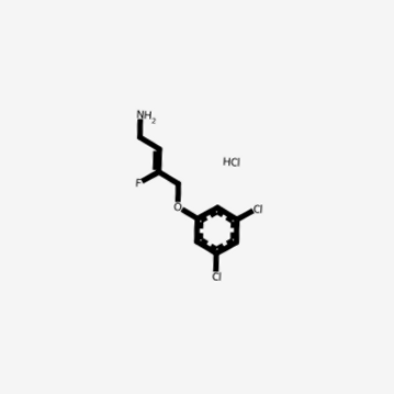 Cl.NCC=C(F)COc1cc(Cl)cc(Cl)c1